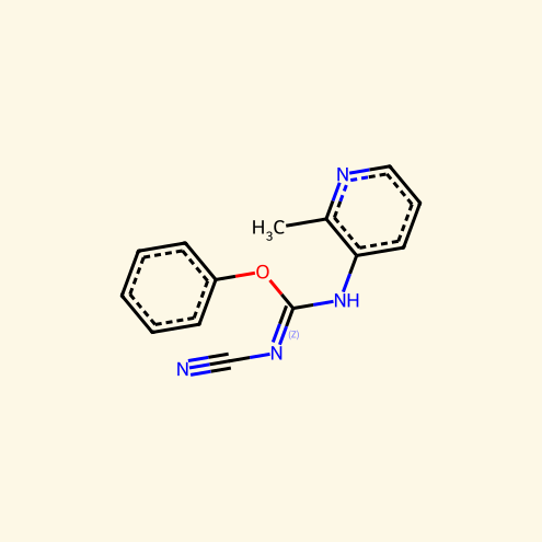 Cc1ncccc1N/C(=N/C#N)Oc1ccccc1